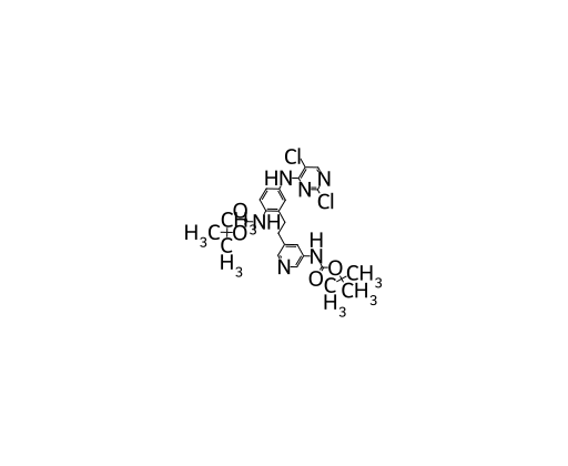 CC(C)(C)OC(=O)Nc1cncc(CCc2cc(Nc3nc(Cl)ncc3Cl)ccc2NC(=O)OC(C)(C)C)c1